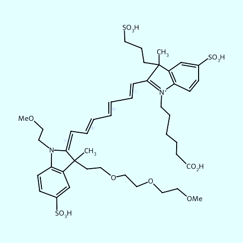 COCCOCCOCCC1(C)\C(=C/C=C/C=C/C=C/C2=[N+](CCCCCC(=O)O)c3ccc(S(=O)(=O)O)cc3C2(C)CCCS(=O)(=O)O)N(CCOC)c2ccc(S(=O)(=O)O)cc21